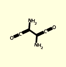 NC(=C=O)C(N)=C=O